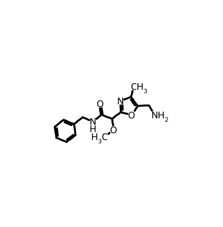 COC(C(=O)NCc1ccccc1)c1nc(C)c(CN)o1